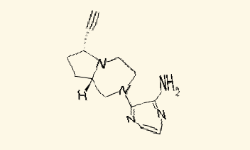 C#C[C@H]1CC[C@H]2CN(c3nccnc3N)CCN21